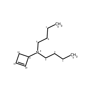 CCCCN(CCCC)C1C=CC1